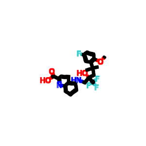 COc1ccc(F)cc1C(C)(C)CC(O)(CNc1cccc2nc(C(=O)O)ccc12)C(F)(F)F